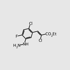 CCOC(=O)C(Cl)=Cc1cc(NN)c(F)cc1Cl